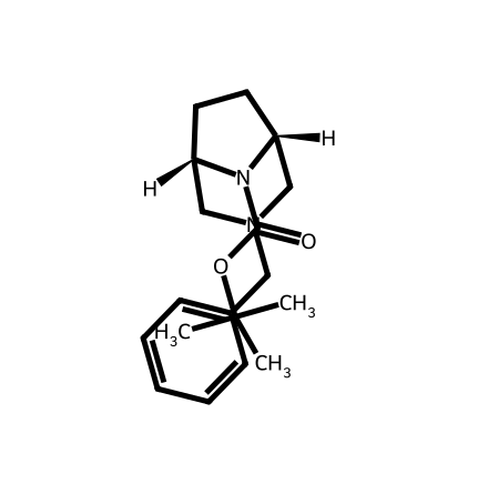 CC(C)(C)OC(=O)N1[C@@H]2CC[C@H]1CN(Cc1ccccc1)C2